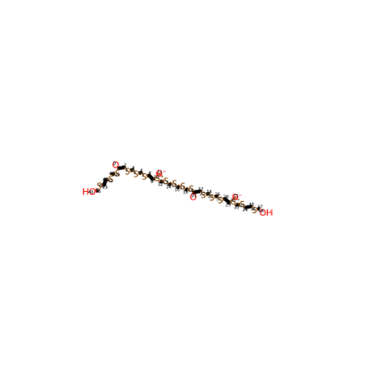 O=C(CSCSCSCC[S+]([O-])CSCSCSCSC(=O)CSCSCSCC[S+]([O-])CSCCSCO)SCSCCSCO